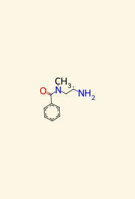 CN(C[CH]N)C(=O)c1ccccc1